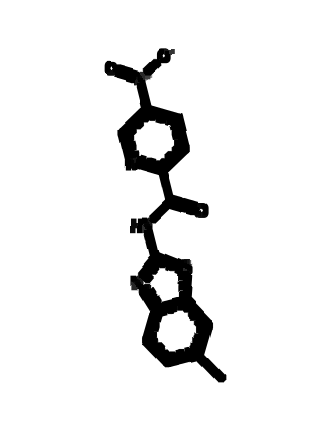 Cc1ccc2nc(NC(=O)c3ccc([N+](=O)[O-])cn3)sc2c1